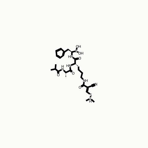 CC(C)C(=O)N[C@@H](C)C(=O)N[C@@H](CCCCNC(=O)/C(C#N)=C/S[SH](C)C)C(=O)N[C@@H](Cc1ccccc1)B(O)O